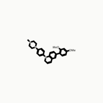 COc1ccc(-c2ccc3c(c2)C=CCN3c2ccc(N3CCN(C)CC3)cc2)c(OC)c1